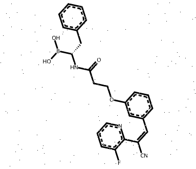 N#CC(=Cc1cccc(OCCC(=O)N[C@@H](Cc2ccccc2)B(O)O)c1)c1ncccc1F